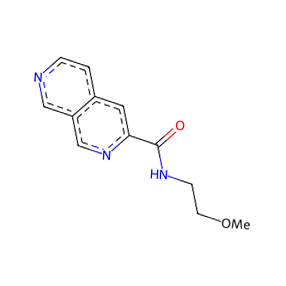 COCCNC(=O)c1cc2ccncc2cn1